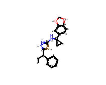 CCC(c1ccccc1)c1nnc(NC2(c3ccc4c(c3)OCO4)CC2)s1